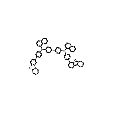 C1=CC2Oc3ccc(-c4ccc(N(c5ccc(-c6ccc(N(c7ccc(-c8cccc9c8oc8ccccc89)cc7)c7cccc8ccccc78)cc6)cc5)c5cccc6ccccc56)cc4)cc3C2C=C1